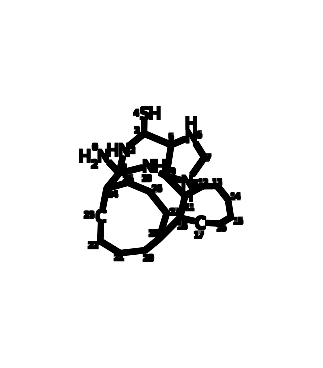 NC12NC(S)C3NCNC3(N1)C1CCCCCCC1C1CCCCC2CCC1